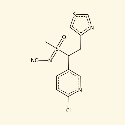 CS(=O)(=NC#N)C(Cc1cscn1)c1ccc(Cl)nc1